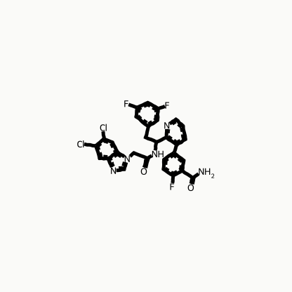 NC(=O)c1cc(-c2cccnc2C(Cc2cc(F)cc(F)c2)NC(=O)Cn2cnc3cc(Cl)c(Cl)cc32)ccc1F